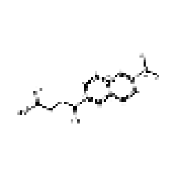 CC(C)C(=O)CCC(=O)c1ccc2cc(N(C)C)ccc2c1